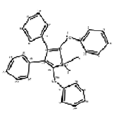 C[Si]1(C)C([Se]c2ccccc2)=C(c2ccccc2)C(c2ccccc2)=C1[Se]c1ccccc1